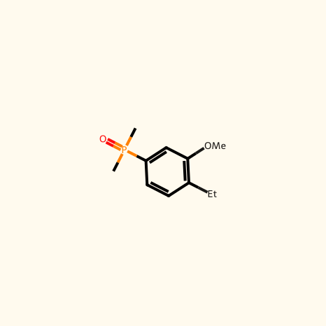 CCc1ccc(P(C)(C)=O)cc1OC